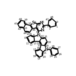 c1ccc(-c2nc(-n3c4ccccc4c4c5c6ccccc6n(-c6ccccc6)c5ccc43)c3c(n2)sc2c4ccccc4ccc23)cc1